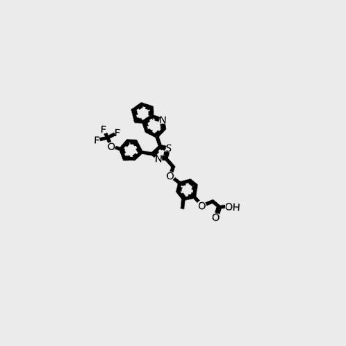 Cc1cc(OCc2nc(-c3ccc(OC(F)(F)F)cc3)c(-c3cnc4ccccc4c3)s2)ccc1OCC(=O)O